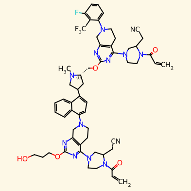 C=CC(=O)N1CCN(c2nc(OC[C@@H]3CC(c4ccc(N5CCc6c(nc(OCCCO)nc6N6CCN(C(=O)C=C)C(CC#N)C6)C5)c5ccccc45)CN3C)nc3c2CCN(c2cccc(F)c2C(F)(F)F)C3)CC1CC#N